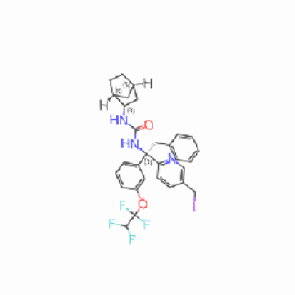 O=C(N[C@@H]1C[C@H]2CC[C@@H]1C2)N[C@](Cc1ccccc1)(c1cccc(OC(F)(F)C(F)F)c1)c1ccc(CI)cn1